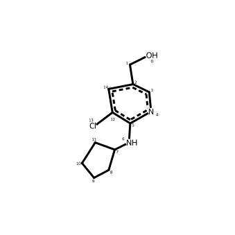 OCc1cnc(NC2CCCC2)c(Cl)c1